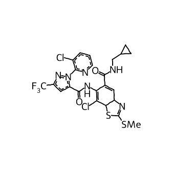 CSC1=NC2C=C(C(=O)NCC3CC3)C(NC(=O)c3cc(C(F)(F)F)nn3-c3ncccc3Cl)=C(Cl)C2S1